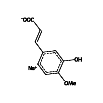 COc1ccc(C=CC(=O)[O-])cc1O.[Na+]